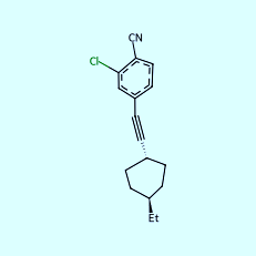 CC[C@H]1CC[C@H](C#Cc2ccc(C#N)c(Cl)c2)CC1